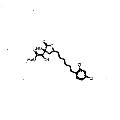 COC(=O)C(O)C1(O)CC(CCCCCCc2ccc(Cl)cc2Cl)OC1=O